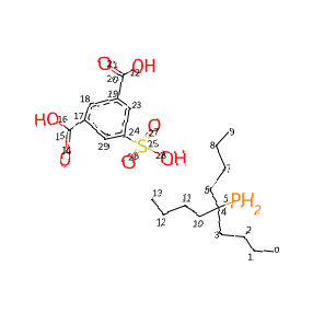 CCCCC(P)(CCCC)CCCC.O=C(O)c1cc(C(=O)O)cc(S(=O)(=O)O)c1